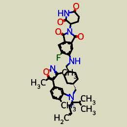 C=C/C=C(\C(C)C)N(C[C@H]1CC[C@H](CNc2cc3c(cc2F)C(=O)N(C2CCC(=O)NC2=O)C3=O)CC1)c1cc(-c2c(C)noc2C)ccc1C